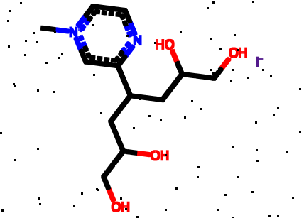 C[n+]1ccnc(C(CC(O)CO)CC(O)CO)c1.[I-]